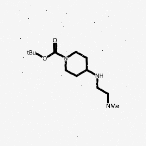 CNCCNC1CCN(C(=O)OC(C)(C)C)CC1